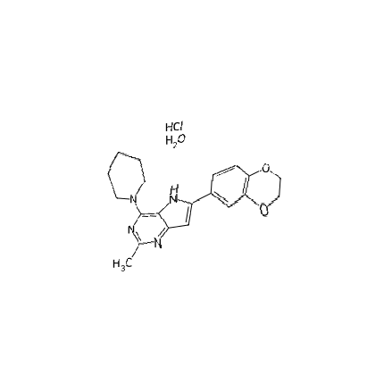 Cc1nc(N2CCCCC2)c2[nH]c(-c3ccc4c(c3)OCCO4)cc2n1.Cl.O